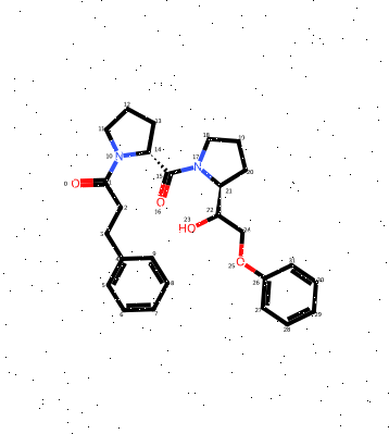 O=C(CCc1ccccc1)N1CCC[C@@H]1C(=O)N1CCC[C@H]1C(O)COc1ccccc1